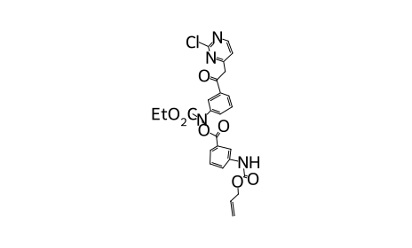 C=CCOC(=O)Nc1cccc(C(=O)ON(C(=O)OCC)c2cccc(C(=O)Cc3ccnc(Cl)n3)c2)c1